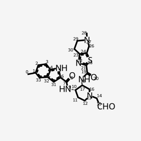 Cc1ccc2[nH]c(C(=O)N[C@H]3CCN(CC=O)C[C@H]3NC(=O)c3nc4c(s3)CN(C)CC4)cc2c1